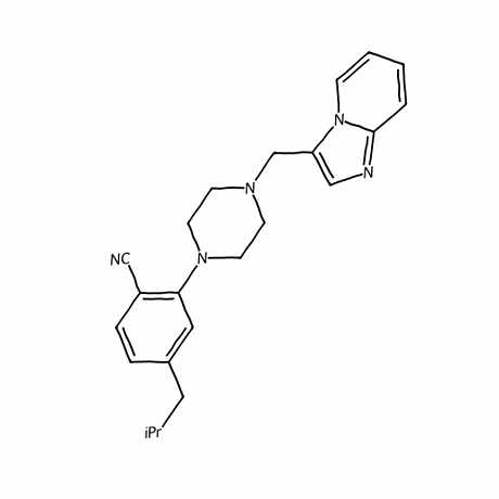 CC(C)Cc1ccc(C#N)c(N2CCN(Cc3cnc4ccccn34)CC2)c1